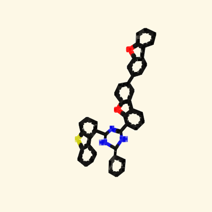 c1ccc(C2NC(c3cccc4c3oc3ccc(-c5ccc6c(c5)oc5ccccc56)cc34)=NC(c3cccc4sc5ccccc5c34)N2)cc1